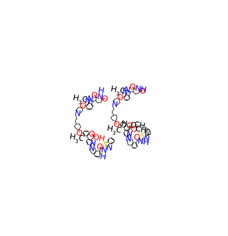 Cc1c(OC2CCC(CCCN3CCC(Oc4cccc5c(C6CCC(=O)NC6=O)nn(C)c45)CC3)CC2)cccc1-c1ccc(N2CCc3cccc(C(=O)Nc4nc5ccccc5s4)c3C2)nc1C(=O)O.Cc1c(OC2CCC(CCCN3CCC(Oc4cccc5c(C6CCC(=O)NC6=O)nn(C)c45)CC3)CC2)cccc1-c1ccc(N2CCc3cccc(C(=O)Nc4nc5ccccc5s4)c3C2)nc1C(=O)OC(C)(C)C